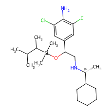 CC(C)C(C)[Si](C)(C)OC(CN[C@H](C)C1CCCCC1)c1cc(Cl)c(N)c(Cl)c1